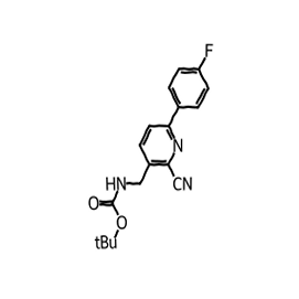 CC(C)(C)OC(=O)NCc1ccc(-c2ccc(F)cc2)nc1C#N